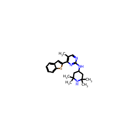 Cc1cnc(NC2CC(C)(C)NC(C)(C)C2)nc1-c1cc2ccccc2s1